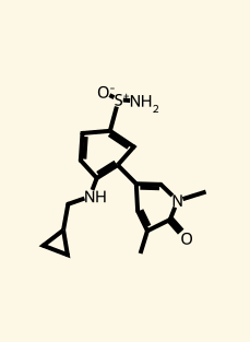 Cc1cc(-c2cc([S+](N)[O-])ccc2NCC2CC2)cn(C)c1=O